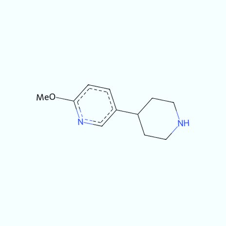 COc1ccc(C2CCNCC2)cn1